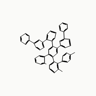 Cc1ccc(-c2c(C)cccc2-c2cc(-c3cccc(-c4ccccc4)c3)c(-c3ccccc3-c3cccc(-c4ccccc4)c3)[c]c2-c2ccccc2C)cc1